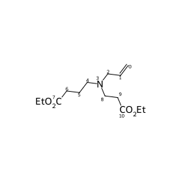 C=CCN(CCCC(=O)OCC)CCC(=O)OCC